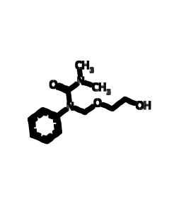 CN(C)C(=O)N(COCCO)c1ccccc1